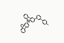 Cc1ccc(-c2cccc(-c3ccc4c(c3)c3ccccc3n4-c3ccc4c(c3)oc3ccccc34)c2)cc1